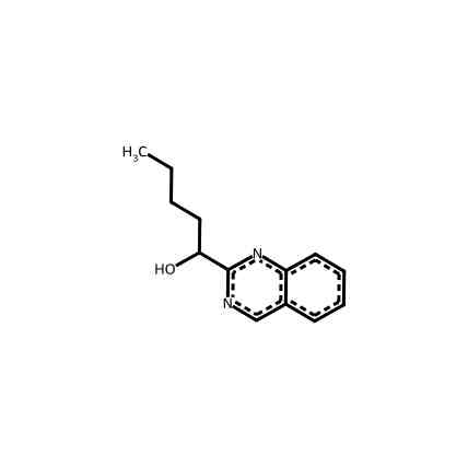 CCCCC(O)c1ncc2ccccc2n1